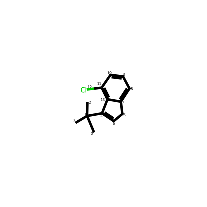 CC(C)(C)C1=CCc2cccc(Cl)c21